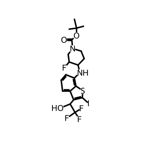 CC(C)(C)OC(=O)N1CCC(Nc2cccc3c(C(O)C(F)(F)F)c(I)sc23)C(F)C1